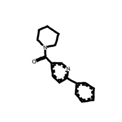 O=C(c1ccc(-c2ccccc2)nc1)N1CC[CH]CC1